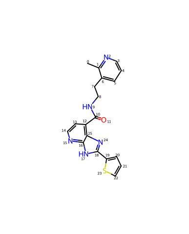 Cc1ncccc1CCNC(=O)c1ccnc2[nH]c(-c3cccs3)nc12